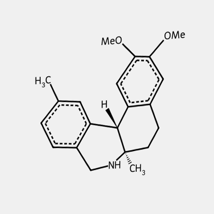 COc1cc2c(cc1OC)[C@H]1c3cc(C)ccc3CN[C@]1(C)CC2